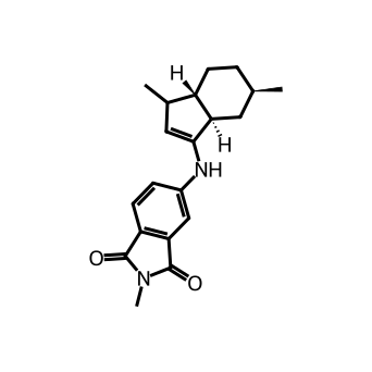 CC1C=C(Nc2ccc3c(c2)C(=O)N(C)C3=O)[C@@H]2C[C@H](C)CC[C@@H]12